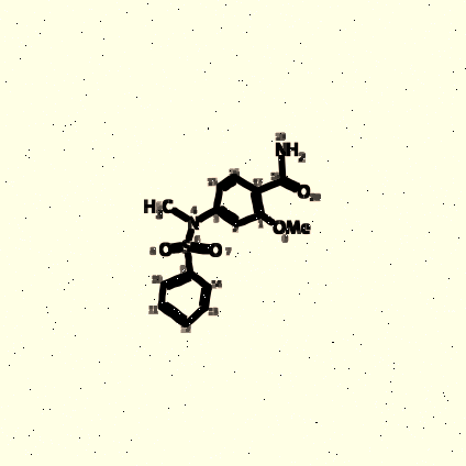 COc1cc(N(C)S(=O)(=O)c2ccccc2)ccc1C(N)=O